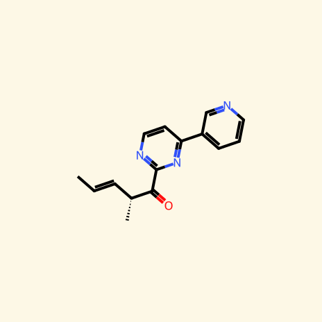 C/C=C/[C@@H](C)C(=O)c1nccc(-c2cccnc2)n1